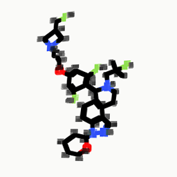 CC(C)(F)CN1CCc2c(ccc3c2cnn3C2CCCCO2)C1c1c(F)cc(OCCN2CC(CF)C2)cc1F